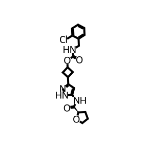 O=C(NCc1ccccc1Cl)OC1CC(c2cc(NC(=O)[C@H]3CCCO3)[nH]n2)C1